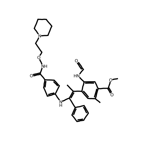 COC(=O)c1cc(NC=O)c(/C(C)=C(/Nc2ccc(C(=O)NOCCN3CCCCC3)cc2)c2ccccc2)cc1C